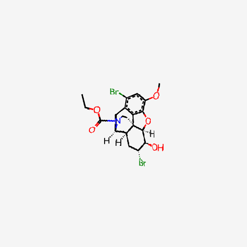 CCOC(=O)N1CC[C@]23c4c5c(Br)cc(OC)c4O[C@H]2[C@@H](O)[C@H](Br)C[C@H]3[C@H]1C5